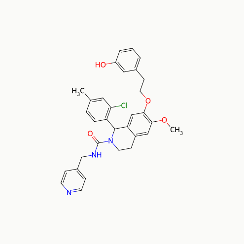 COc1cc2c(cc1OCCc1cccc(O)c1)C(c1ccc(C)cc1Cl)N(C(=O)NCc1ccncc1)CC2